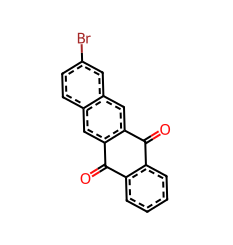 O=C1c2ccccc2C(=O)c2cc3cc(Br)ccc3cc21